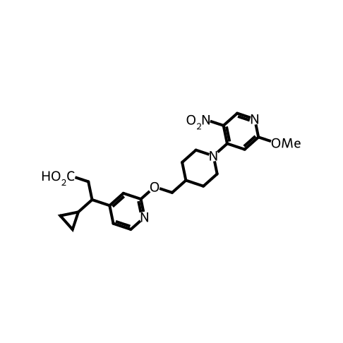 COc1cc(N2CCC(COc3cc(C(CC(=O)O)C4CC4)ccn3)CC2)c([N+](=O)[O-])cn1